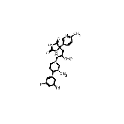 Cc1ccc(C2(CC(C=O)CN3CCN(c4cc(F)cc(Cl)c4)[C@@H](C)C3)NC(=O)NC2=O)cn1